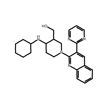 OCC1CN(c2nc3ccccc3cc2-c2ncccn2)CCC1NC1CCCCC1